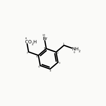 NCc1cccc(CC(=O)O)c1Br